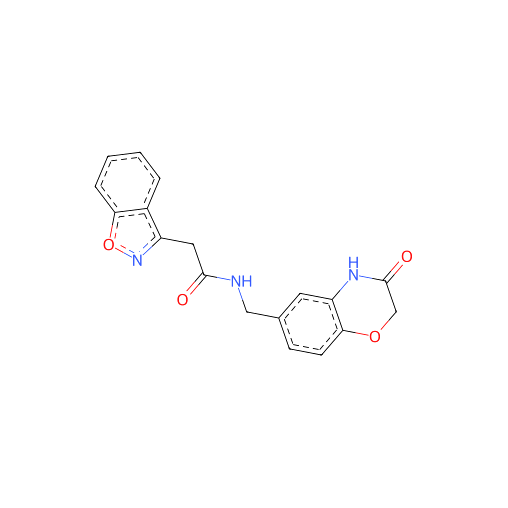 O=C(Cc1noc2ccccc12)NCc1ccc2c(c1)NC(=O)CO2